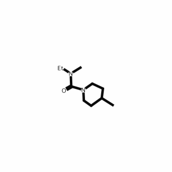 CCN(C)C(=O)N1CCC(C)CC1